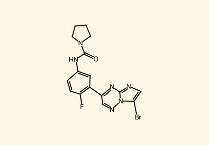 O=C(Nc1ccc(F)c(-c2cnn3c(Br)cnc3n2)c1)N1CCCC1